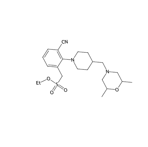 CCOS(=O)(=O)Cc1cccc(C#N)c1N1CCC(CN2CC(C)OC(C)C2)CC1